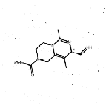 CNC(=O)N1CCN2C(C)=N[C@@H](C=N)C(C)=C2C1